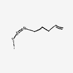 C=CCCCN=BSI